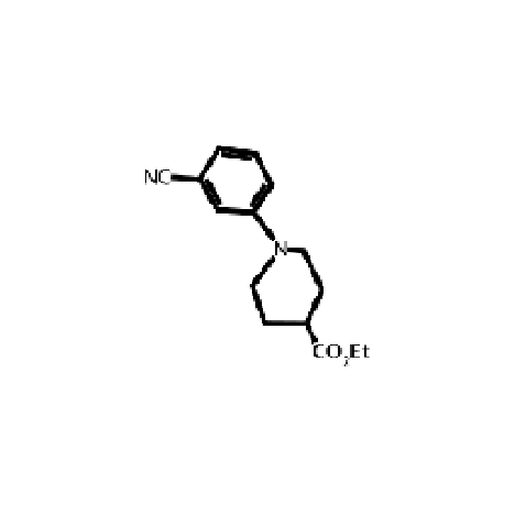 CCOC(=O)C1CCN(c2cccc(C#N)c2)CC1